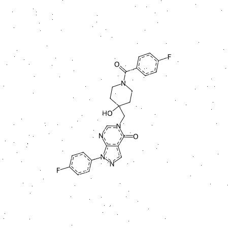 O=C(c1ccc(F)cc1)N1CCC(O)(Cn2cnc3c(cnn3-c3ccc(F)cc3)c2=O)CC1